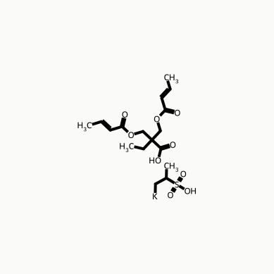 CC([CH2][K])S(=O)(=O)O.CC=CC(=O)OCC(CC)(COC(=O)C=CC)C(=O)O